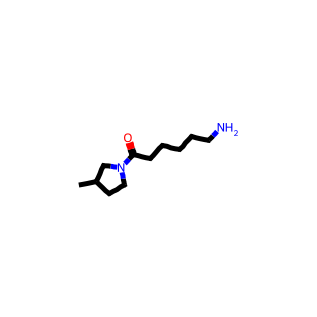 CC1CCN(C(=O)CCCCCN)C1